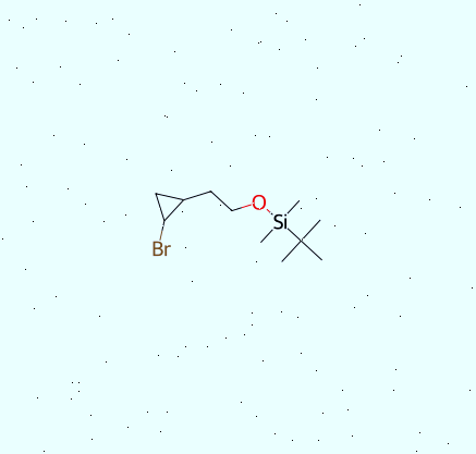 CC(C)(C)[Si](C)(C)OCCC1CC1Br